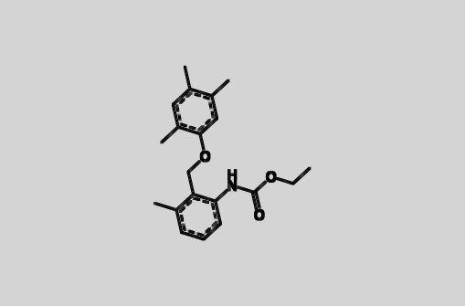 CCOC(=O)Nc1cccc(C)c1COc1cc(C)c(C)cc1C